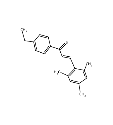 CCc1ccc(C(=S)C=Cc2c(C)cc(C)cc2C)cc1